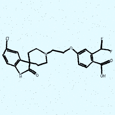 O=C(O)c1ccc(OCCN2CCC3(CC2)C(=O)Nc2ccc(Cl)cc23)cc1C(F)F